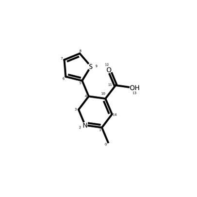 CC1=NCC(c2cccs2)C(C(=O)O)=C1